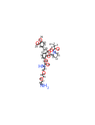 CCC(C)(C)C(=O)C(=O)N1CCCCC1C(=O)O[C@H](CCc1ccc(OC)c(OC)c1)c1cccc(OCC(=O)NCCOCCOCCN)c1